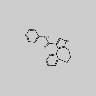 O=C(Nc1ccncc1)c1c[nH]c2c1-c1ncncc1CCC2